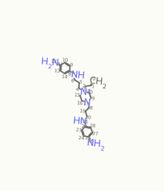 C=CC[N+]1(CCCNc2ccc(N)cc2)CCN(CCCNc2ccc(N)cc2)CC1